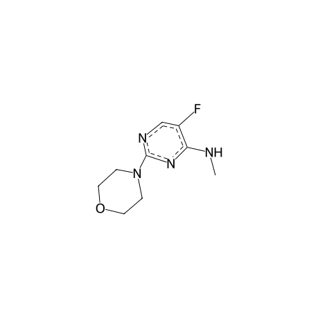 CNc1nc(N2CCOCC2)ncc1F